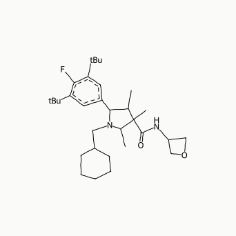 CC1C(c2cc(C(C)(C)C)c(F)c(C(C)(C)C)c2)N(CC2CCCCC2)C(C)C1(C)C(=O)NC1COC1